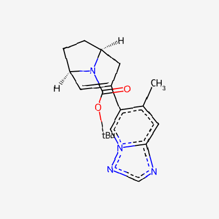 Cc1cc2ncnn2cc1C1=C[C@H]2CC[C@@H](C1)N2C(=O)OC(C)(C)C